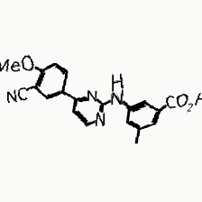 COc1ccc(-c2ccnc(Nc3cc(C)cc(C(=O)O)c3)n2)cc1C#N